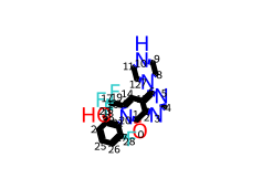 O=c1c2ncnc(N3CCNCC3)c2cc(C(F)(F)F)n1-c1c(O)cccc1F